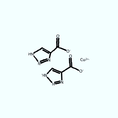 O=C([O-])c1c[nH]nn1.O=C([O-])c1c[nH]nn1.[Cu+2]